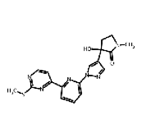 CSc1nccc(-c2cccc(-n3cc([C@]4(O)CCN(C)C4=O)cn3)n2)n1